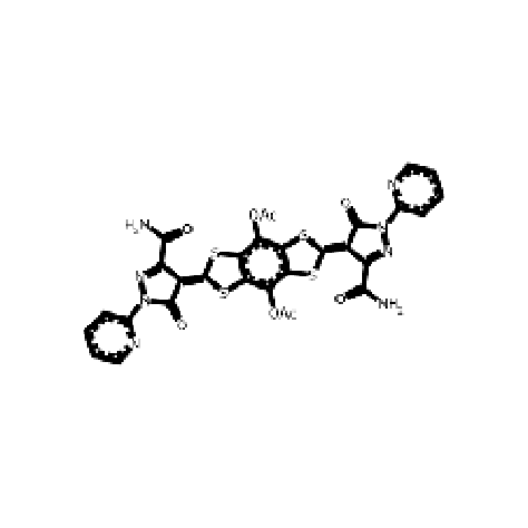 CC(=O)Oc1c2c(c(OC(C)=O)c3c1SC(=C1C(=O)N(c4ccccn4)N=C1C(N)=O)S3)SC(=C1C(=O)N(c3ccccn3)N=C1C(N)=O)S2